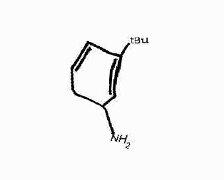 CC(C)(C)C1=CC(N)CC=C1